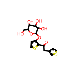 O=C(Cc1ccsc1)c1sccc1OC1OC(CO)C(O)C(O)C1O